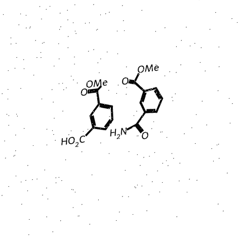 COC(=O)c1cccc(C(=O)O)c1.COC(=O)c1cccc(C(N)=O)c1